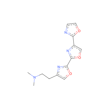 CN(C)CCc1coc(-c2nc(-c3ncco3)co2)n1